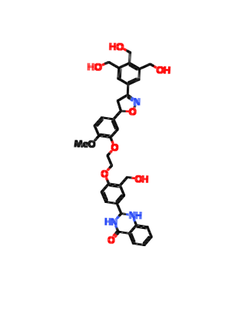 COc1ccc(C2CC(c3cc(CO)c(CO)c(CO)c3)=NO2)cc1OCCOc1ccc(C2NC(=O)c3ccccc3N2)cc1CO